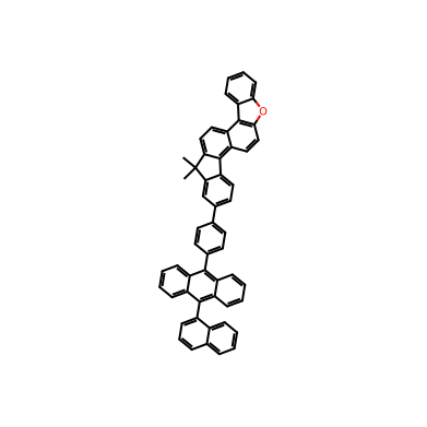 CC1(C)c2cc(-c3ccc(-c4c5ccccc5c(-c5cccc6ccccc56)c5ccccc45)cc3)ccc2-c2c1ccc1c2ccc2oc3ccccc3c21